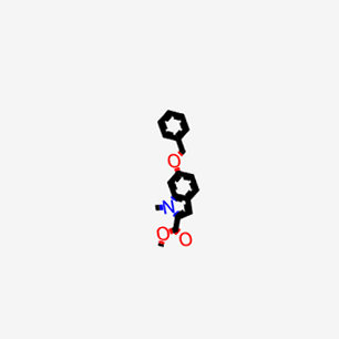 COC(=O)c1cc2ccc(OCc3ccccc3)cc2n1C